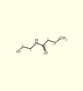 CSCC(=O)NCC[O]